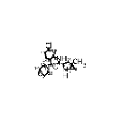 C[C@]12CC1N[C@H](C(=O)Nc1nc(Cl)ccc1CN1CCOCC1)C2